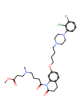 COC(=O)CCN(C)CCCC(=O)N1C(=O)CCc2ccc(OCCCCN3CCN(c4cccc(Cl)c4Cl)CC3)cc21